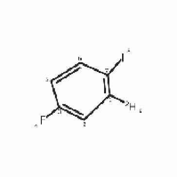 [2H]c1cc(F)ccc1I